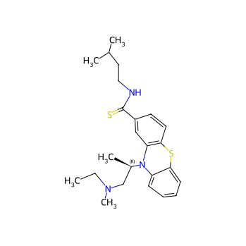 CCN(C)C[C@@H](C)N1c2ccccc2Sc2ccc(C(=S)NCCC(C)C)cc21